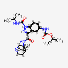 CC(C)NC(=O)n1nc(C(=O)N[C@H]2CN3CCC2CC3)c2cc(NC(=O)OC(C)C)ccc21